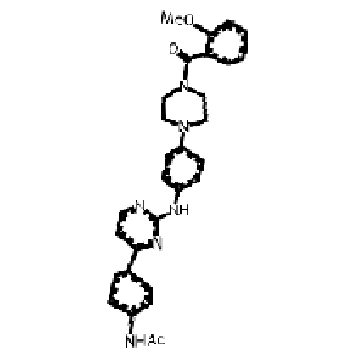 COc1ccccc1C(=O)N1CCN(c2ccc(Nc3nccc(-c4ccc(NC(C)=O)cc4)n3)cc2)CC1